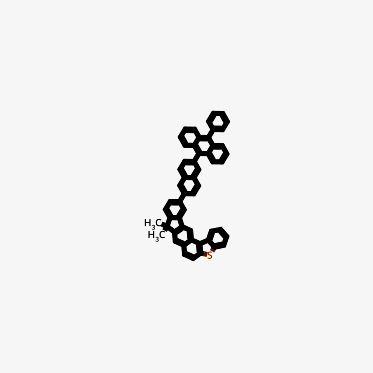 CC1(C)c2ccc(-c3ccc4cc(-c5c6ccccc6c(-c6ccccc6)c6ccccc56)ccc4c3)cc2-c2cc3c(ccc4sc5ccccc5c43)cc21